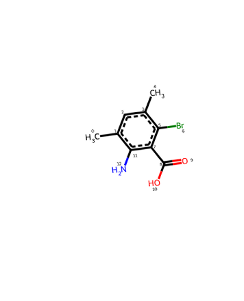 Cc1cc(C)c(Br)c(C(=O)O)c1N